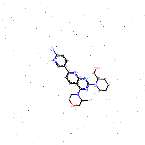 C[C@H]1COCCN1c1nc(N2CCCCC2CO)nc2nc(-c3ccc(N)nc3)ccc12